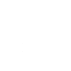 O=C(O)C=C1CCc2c(Cl)cc(Cl)cc21